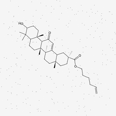 C=CCCCCOC(=O)[C@@]1(C)CC[C@]2(C)CC[C@]3(C)C(=CC(=O)C4[C@@]5(C)CCC(O)C(C)(C)C5CC[C@]43C)C2C1